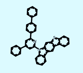 c1ccc(-c2ccc(-c3cc(-c4ccccc4)cc(-n4c5ccccc5c5cc6c(cc54)sc4ccccc46)n3)cc2)cc1